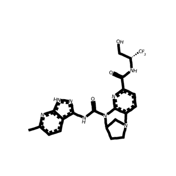 Cc1ccc2c(NC(=O)N3c4nc(C(=O)N[C@H](CO)C(F)(F)F)ccc4N4CCC3C4)n[nH]c2n1